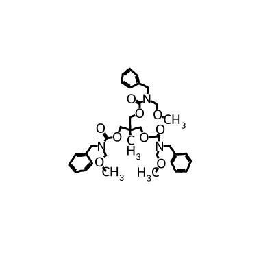 COCN(Cc1ccccc1)C(=O)OCC(C)(COC(=O)N(COC)Cc1ccccc1)COC(=O)N(COC)Cc1ccccc1